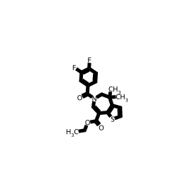 CCOC(=O)C1=CN(C(=O)c2ccc(F)c(F)c2)CC(C)(C)c2ccsc21